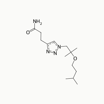 CC(C)CCOC(C)(C)Cn1cc(CCC(N)=O)nn1